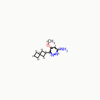 COc1cc(N)nnc1C1CC2(CCC2)C1